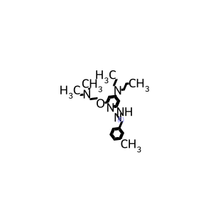 CCCN(CCC)c1cc(N/N=C/c2cccc(C)c2)nc(OCCN(CC)CC)c1